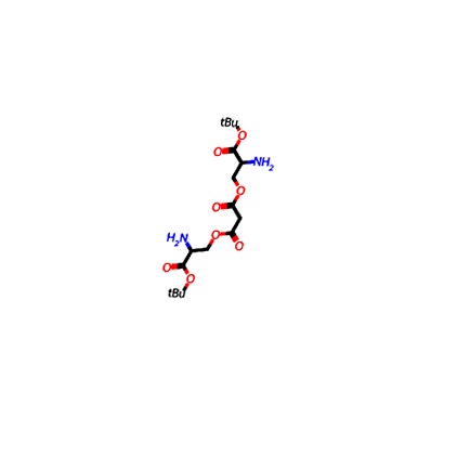 CC(C)(C)OC(=O)C(N)COC(=O)CC(=O)OCC(N)C(=O)OC(C)(C)C